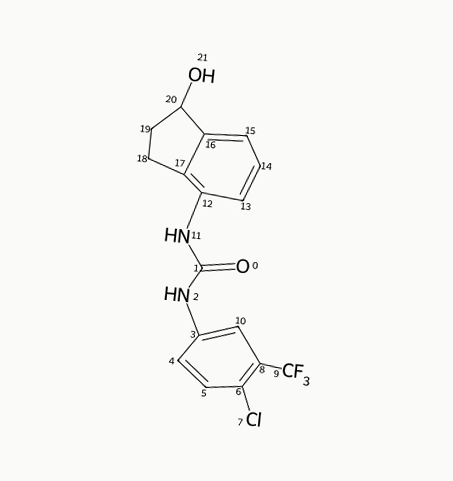 O=C(Nc1ccc(Cl)c(C(F)(F)F)c1)Nc1cccc2c1CCC2O